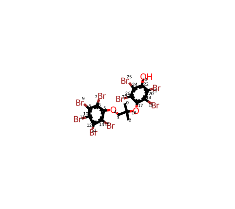 CC(C)(COc1c(Br)c(Br)c(Br)c(Br)c1Br)Oc1c(Br)c(Br)c(O)c(Br)c1Br